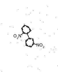 O=[N+]([O-])c1cccc(-c2cc[c]cc2[N+](=O)[O-])c1